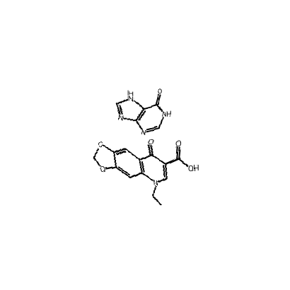 CCn1cc(C(=O)O)c(=O)c2cc3c(cc21)OCO3.O=c1[nH]cnc2nc[nH]c12